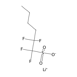 CCCCC(F)(F)C(F)(F)S(=O)(=O)[O-].[Li+]